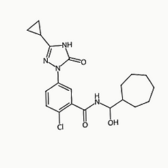 O=C(NC(O)C1CCCCCC1)c1cc(-n2nc(C3CC3)[nH]c2=O)ccc1Cl